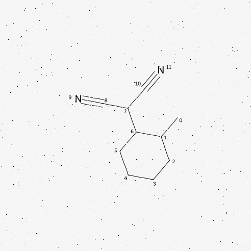 CC1CCCCC1C(C#N)C#N